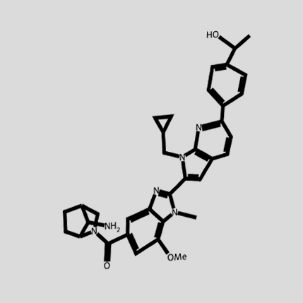 COc1cc(C(=O)N2CC3CCC2C3N)cc2nc(-c3cc4ccc(-c5ccc(C(C)O)cc5)nc4n3CC3CC3)n(C)c12